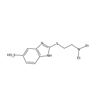 CCN(CC)CCSc1nc2cc(S(=O)(=O)O)ccc2[nH]1